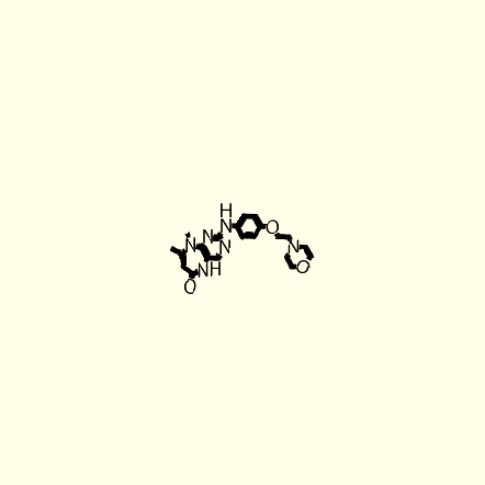 CC1=CC(=O)Nc2cnc(Nc3ccc(OCCN4CCOCC4)cc3)nc2N1C